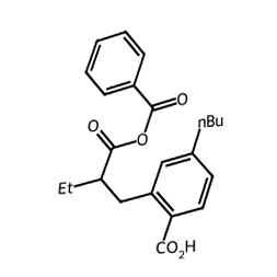 CCCCc1ccc(C(=O)O)c(CC(CC)C(=O)OC(=O)c2ccccc2)c1